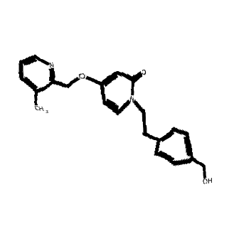 Cc1cccnc1COc1ccn(CCc2ccc(CO)cc2)c(=O)c1